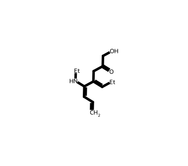 C=C/C=C(/NCC)C(=CCC)CC(=O)CO